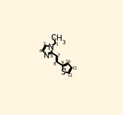 CCn1ccnc1/C=C/c1cccs1